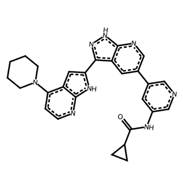 O=C(Nc1cncc(-c2cnc3[nH]nc(-c4cc5c(N6CCCCC6)ccnc5[nH]4)c3c2)c1)C1CC1